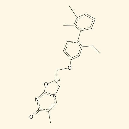 CCc1cc(OC[C@@H]2Cn3cc(C)c(=O)nc3O2)ccc1-c1cccc(C)c1C